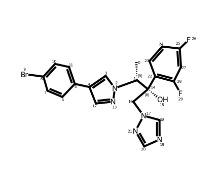 C[C@@H](n1cc(-c2ccc(Br)cc2)cn1)[C@](O)(Cn1cncn1)c1ccc(F)cc1F